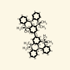 C[Si]1(C)c2ccccc2B2c3ccccc3[Si](C)(C)c3cc(-c4cc5c6c(c4)S(C)(C)c4ccccc4B6c4ccccc4[Si]5(C)C)cc1c32